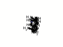 C[C@H](NC(=O)[C@@H](NC(=O)[C@@H](N)CCCCN)[C@@H](O)CN)C(=O)NCC(=O)N[C@H](CCCN)C(=O)N1CCC[C@H]1C(=O)N[C@@H](Cc1cnc[nH]1)C(=O)N[C@@H](CCCCN)C(=O)CC/C(=C\CCNC(=N)N)C(=O)O